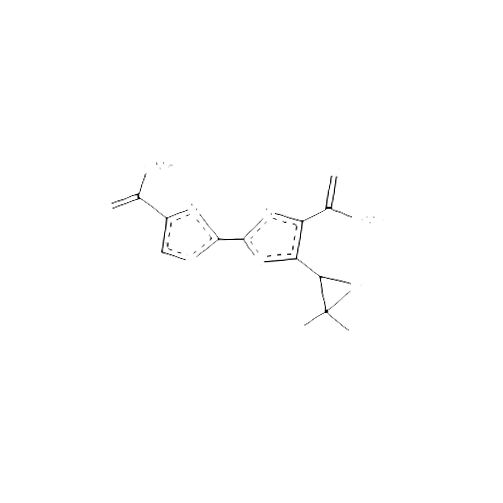 COC(=O)c1csc(-c2nc(C(=O)OC)c(C3OC3(C)C)s2)n1